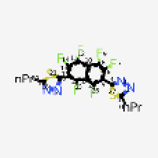 CCCc1nnc(-c2c(F)c(F)c3c(F)c(F)c(-c4nnc(CCC)s4)c(F)c3c2F)s1